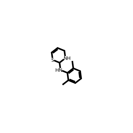 Cc1cccc(C)c1NC1NCC=CS1